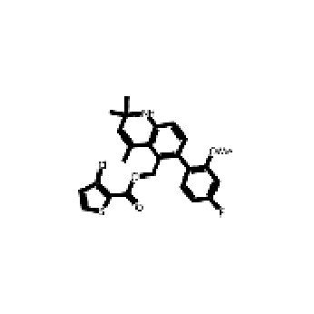 COc1cc(F)ccc1-c1ccc2c(c1COC(=O)c1sccc1Cl)C(C)=CC(C)(C)N2